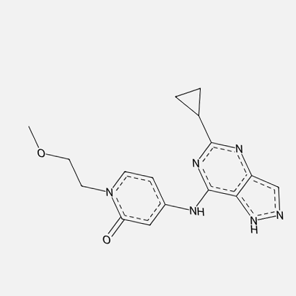 COCCn1ccc(Nc2nc(C3CC3)nc3cn[nH]c23)cc1=O